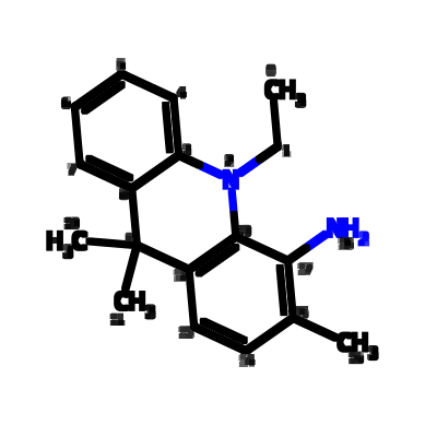 CCN1c2ccccc2C(C)(C)c2ccc(C)c(N)c21